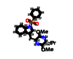 COC1=N[C@H](C(C)C)C(OC)=N[C@H]1Cc1cn(S(=O)(=O)c2ccccc2)c2ccccc12